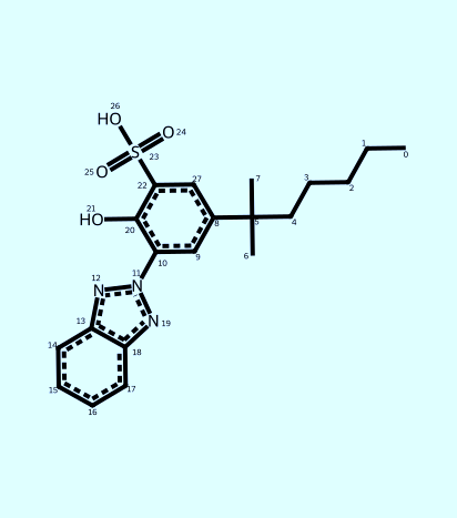 CCCCCC(C)(C)c1cc(-n2nc3ccccc3n2)c(O)c(S(=O)(=O)O)c1